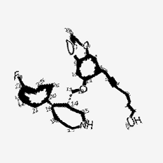 OCCCC#Cc1cc2c(cc1OC[C@@H]1CNCC[C@H]1c1ccc(F)cc1)OCO2